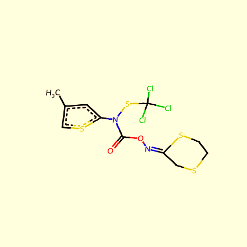 Cc1csc(N(SC(Cl)(Cl)Cl)C(=O)ON=C2CSCCS2)c1